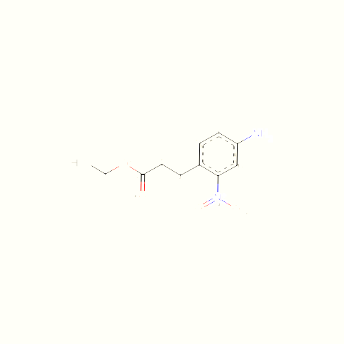 CCOC(=O)CCc1ccc(N)cc1[N+](=O)[O-]